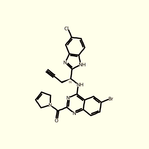 C#CC[C@H](Nc1nc(C(=O)N2CC=CC2)nc2ccc(Br)cc12)c1nc2cc(Cl)ccc2[nH]1